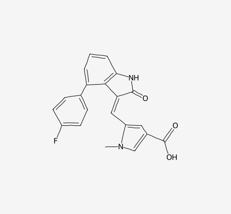 Cn1cc(C(=O)O)cc1C=C1C(=O)Nc2cccc(-c3ccc(F)cc3)c21